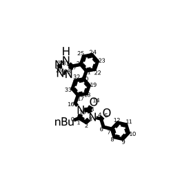 CCCCc1cn(C(=O)Cc2ccccc2)c(=O)n1Cc1ccc(-c2ccccc2-c2nnn[nH]2)cc1